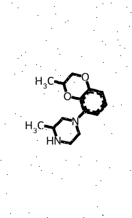 CC1CN(c2cccc3c2OC(C)CO3)CCN1